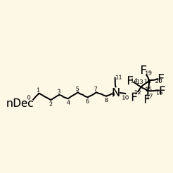 CCCCCCCCCCCCCCCCCCN(C)C.FC1(F)C(F)(F)C1(F)F